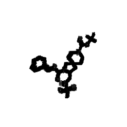 CC(C)(C)OC(=O)N1CCC2(CC1)CC(CNS(C)(=O)=O)N(C(=O)OCc1ccccc1)C2